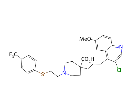 COc1ccc2ncc(Cl)c(CCCC3(C(=O)O)CCN(CCSc4ccc(C(F)(F)F)cc4)CC3)c2c1